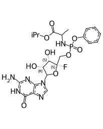 CC(C)OC(=O)C(C)NP(=O)(OC[C@@]1(F)OC(n2cnc3c(=O)[nH]c(N)nc32)[C@H](O)[C@@H]1O)Oc1ccccc1